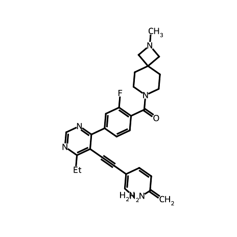 C=C(N)/C=C\C(C#Cc1c(CC)ncnc1-c1ccc(C(=O)N2CCC3(CC2)CN(C)C3)c(F)c1)=C/N